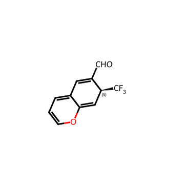 O=CC1=CC2=CC=COC2=C[C@@H]1C(F)(F)F